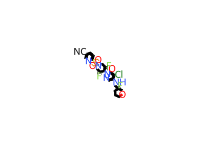 N#Cc1ccc(S(=O)(=O)N2C[C@H](F)C(n3ncc(NC[C@@]4(F)CCCOC4)c(Cl)c3=O)[C@@H](F)C2)nc1